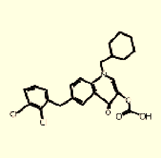 O=C(O)Oc1cn(CC2CCCCC2)c2ccc(Cc3cccc(Cl)c3Cl)cc2c1=O